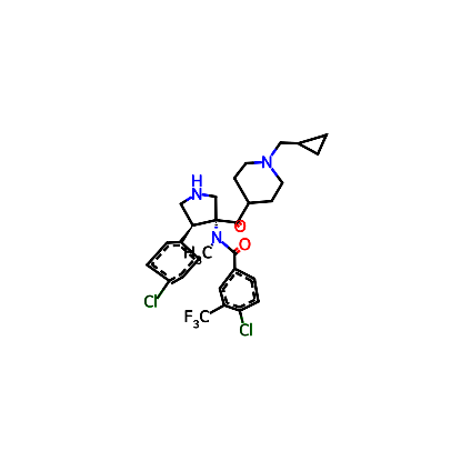 CN(C(=O)c1ccc(Cl)c(C(F)(F)F)c1)[C@@]1(C(=O)C2CCN(CC3CC3)CC2)CNC[C@@H]1c1ccc(Cl)cc1